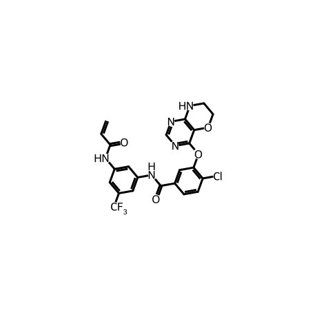 C=CC(=O)Nc1cc(NC(=O)c2ccc(Cl)c(Oc3ncnc4c3OCCN4)c2)cc(C(F)(F)F)c1